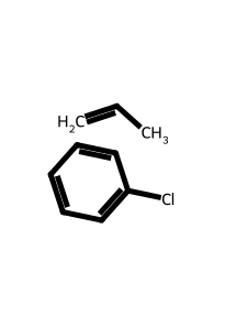 C=CC.Clc1ccccc1